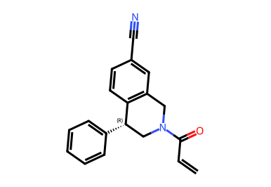 C=CC(=O)N1Cc2cc(C#N)ccc2[C@@H](c2ccccc2)C1